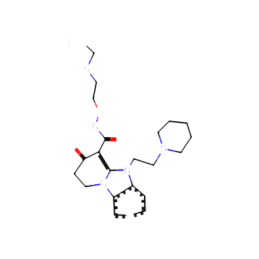 CCNCCONC(=O)C1=C2N(CCC1=O)c1ccccc1N2CCN1CCCCC1